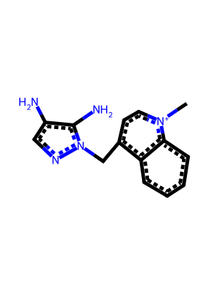 C[n+]1ccc(Cn2ncc(N)c2N)c2ccccc21